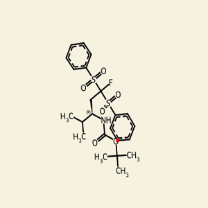 CC(C)[C@@H](CC(F)(S(=O)(=O)c1ccccc1)S(=O)(=O)c1ccccc1)NC(=O)OC(C)(C)C